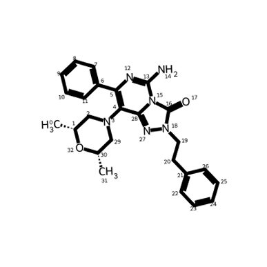 C[C@@H]1CN(c2c(-c3ccccc3)nc(N)n3c(=O)n(CCc4ccccc4)nc23)C[C@H](C)O1